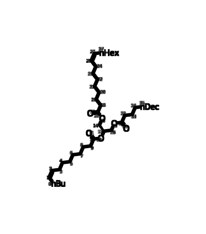 CCCC/C=C\CCCCCCCC(=O)O[C@@H](COC(=O)CCCCCCC/C=C\CCCCCC)COC(=O)CCCCCCCCCCCCC